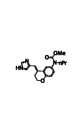 CCCN(C(=O)OC)c1ccc2c(c1)/C(=C/c1c[nH]cn1)CCO2